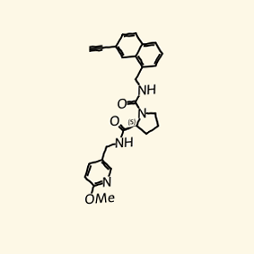 C#Cc1ccc2cccc(CNC(=O)N3CCC[C@H]3C(=O)NCc3ccc(OC)nc3)c2c1